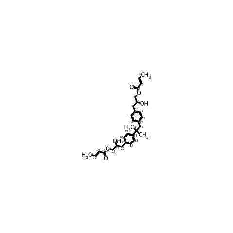 CC=CC(=O)OCC(O)Cc1ccc(CC(C)(C)c2ccc(CC(O)COC(=O)C=CC)cc2)cc1